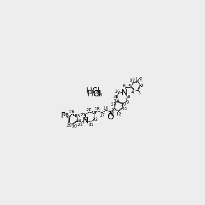 Cc1cccc(CN2CCc3ccc(C(=O)CCCC4CCN(Cc5ccc(F)cc5)CC4)cc3CC2)c1.Cl.Cl